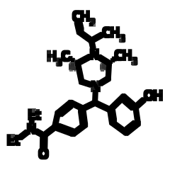 C=CC(C)N1[C@H](C)CN(C(c2ccc(C(=O)N(CC)CC)cc2)c2cccc(O)c2)C[C@@H]1C